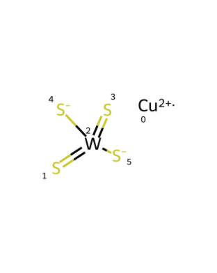 [Cu+2].[S]=[W](=[S])([S-])[S-]